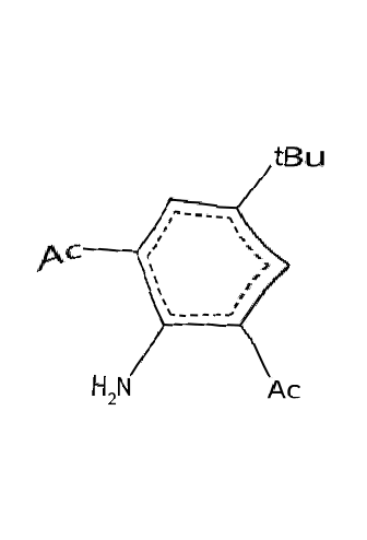 CC(=O)c1cc(C(C)(C)C)cc(C(C)=O)c1N